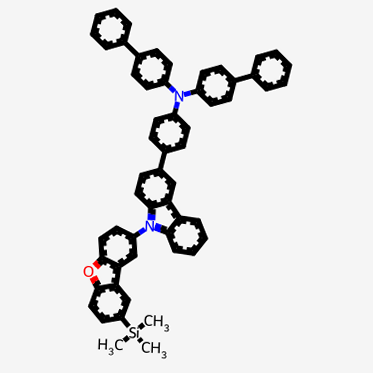 C[Si](C)(C)c1ccc2oc3ccc(-n4c5ccccc5c5cc(-c6ccc(N(c7ccc(-c8ccccc8)cc7)c7ccc(-c8ccccc8)cc7)cc6)ccc54)cc3c2c1